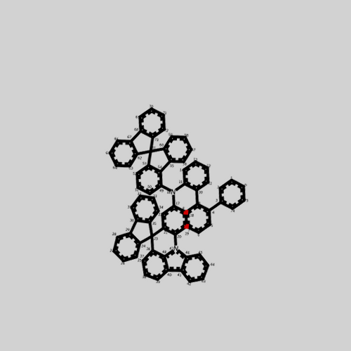 c1ccc(-c2ccccc2-c2ccccc2N(c2ccc3c(c2)C2(c4ccccc4-c4ccccc42)c2cccc4c5ccccc5n-3c24)c2cccc3c2-c2ccccc2C32c3ccccc3-c3ccccc32)cc1